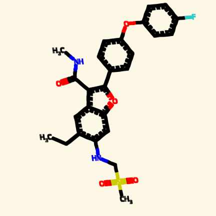 CCc1cc2c(C(=O)NC)c(-c3ccc(Oc4ccc(F)cc4)cc3)oc2cc1NCS(C)(=O)=O